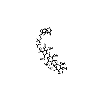 C=C1CCC(=O)N1OC(=O)CCC(=O)OC(C)CON(C)C1OC(CO)C(OC2OC(CO)C(O)C(OC3OC(CO)C(O)C(O)C3O)C2O)C(O)C1O